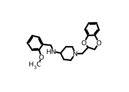 COc1ccccc1CNC1CCN(CC2COc3ccccc3O2)CC1